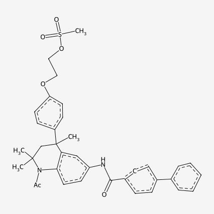 CC(=O)N1c2ccc(NC(=O)c3ccc(-c4ccccc4)cc3)cc2C(C)(c2ccc(OCCOS(C)(=O)=O)cc2)CC1(C)C